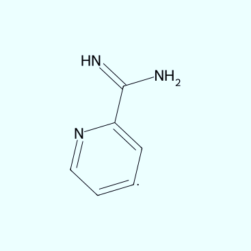 N=C(N)c1c[c]ccn1